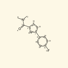 CN(C)C(=O)c1nc(-c2ccc(F)cc2)cs1